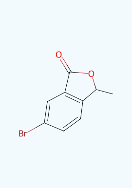 CC1OC(=O)c2cc(Br)ccc21